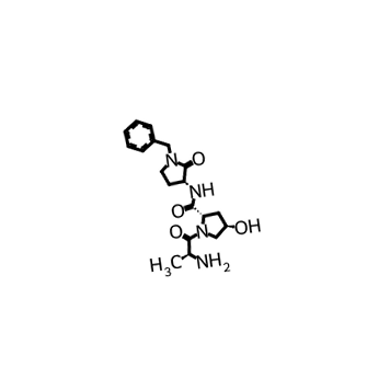 C[C@H](N)C(=O)N1C[C@H](O)C[C@H]1C(=O)N[C@@H]1CCN(Cc2ccccc2)C1=O